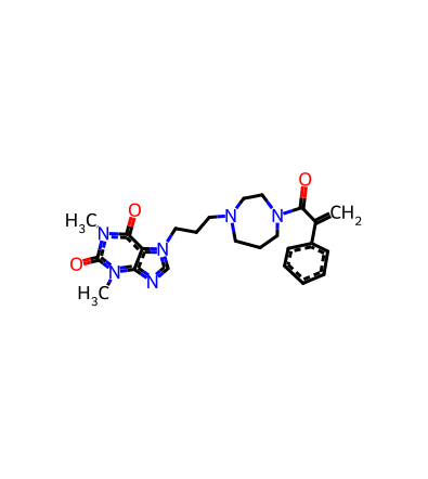 C=C(C(=O)N1CCCN(CCCn2cnc3c2c(=O)n(C)c(=O)n3C)CC1)c1ccccc1